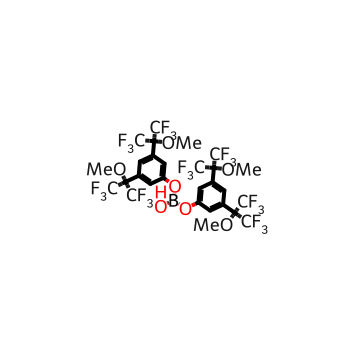 COC(c1cc(OB(O)Oc2cc(C(OC)(C(F)(F)F)C(F)(F)F)cc(C(OC)(C(F)(F)F)C(F)(F)F)c2)cc(C(OC)(C(F)(F)F)C(F)(F)F)c1)(C(F)(F)F)C(F)(F)F